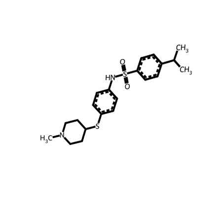 CC(C)c1ccc(S(=O)(=O)Nc2ccc(SC3CCN(C)CC3)cc2)cc1